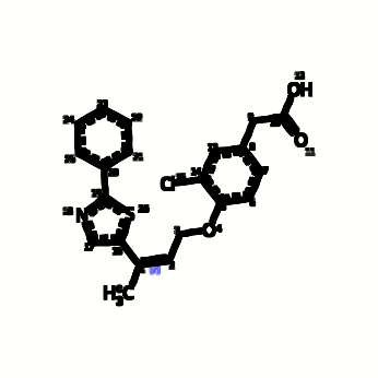 C/C(=C/COc1ccc(CC(=O)O)cc1Cl)c1cnc(-c2ccccc2)s1